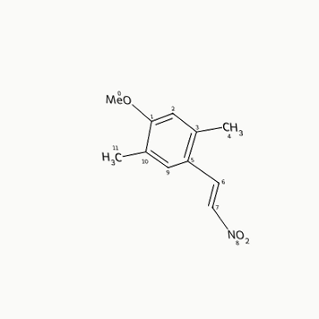 COc1cc(C)c(C=C[N+](=O)[O-])cc1C